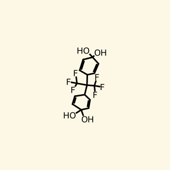 OC1(O)C=CC(C(C2C=CC(O)(O)C=C2)(C(F)(F)F)C(F)(F)F)C=C1